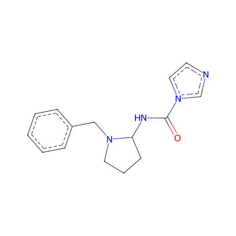 O=C(NC1CCCN1Cc1ccccc1)n1ccnc1